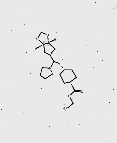 CCOC(=O)[C@H]1CC[C@H](OC(N2CCCC2)N2C[C@@H]3OCO[C@@H]3C2)CC1